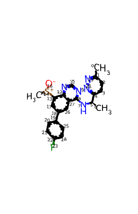 Cc1ccc([C@@H](C)Nc2ncnc3c([S+](C)[O-])cc(-c4ccc(F)cc4)cc23)nn1